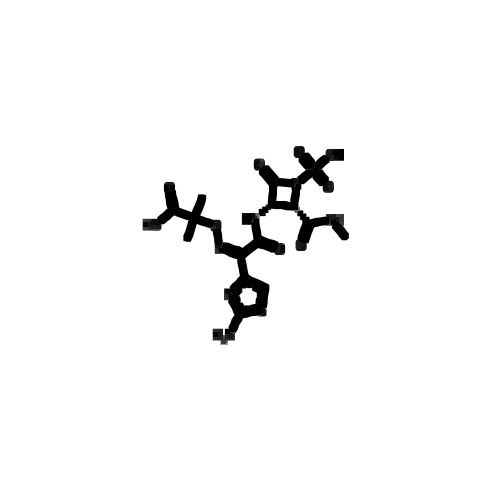 CNC(=O)[C@@H]1[C@H](NC(=O)C(=NOC(C)(C)C(=O)O)c2csc(N)n2)C(=O)N1S(=O)(=O)O